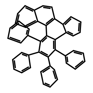 c1ccc(-c2c(-c3ccccc3)c(-c3ccccc3)c3c(c2-c2ccccc2)c2ccccc2c2ccc4ccccc4c23)cc1